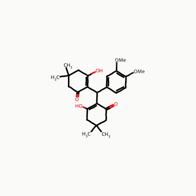 COc1ccc(C(C2=C(O)CC(C)(C)CC2=O)C2=C(O)CC(C)(C)CC2=O)cc1OC